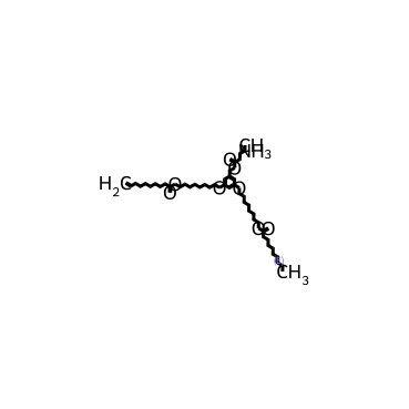 C=CCCCCCCCC(=O)OCCCCCCCCOc1cc(COC(=O)CCNC)cc(OCCCCCCCCOC(=O)CCCCC/C=C/CC)c1